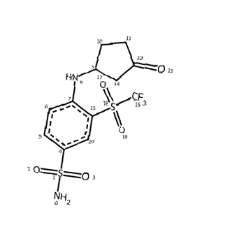 NS(=O)(=O)c1ccc(NC2CCC(=O)C2)c(S(=O)(=O)C(F)(F)F)c1